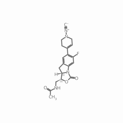 [C-]#[N+]N1CC=C(c2cc3c(cc2F)N2C(=O)O[C@@H](CNC(C)=O)[C@@H]2C3)CC1